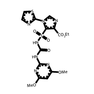 CCOC(=O)c1ncn(-c2nccs2)c1S(=O)(=O)NC(=O)Nc1nc(OC)cc(OC)n1